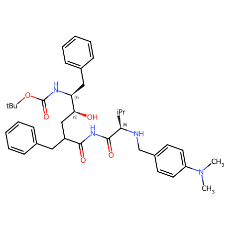 CC(C)[C@@H](NCc1ccc(N(C)C)cc1)C(=O)NC(=O)C(Cc1ccccc1)C[C@H](O)[C@H](Cc1ccccc1)NC(=O)OC(C)(C)C